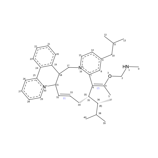 CNCO/C(C)=C1\c2cc(CC(C)C)cc[n+]2CC2c3ccccc3-c3cccc[n+]3C2/C=C/C[C@H]1[C@H](C)C(C)C